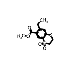 CCc1cc2c(cc1C(=O)OC)S(=O)(=O)CCS2